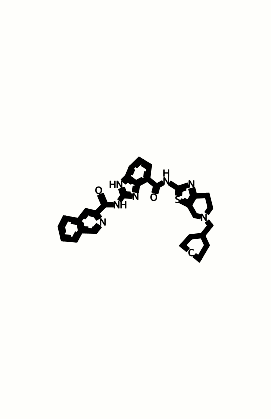 O=C(Nc1nc2c(C(=O)Nc3nc4c(s3)CN(CC3CCCCC3)CC4)cccc2[nH]1)c1cc2ccccc2cn1